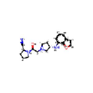 N#CC1CCCN1C(=O)CN1CC[C@H](Nc2cccc3ccoc23)C1